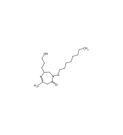 CCCCCCCCON1CC(CCCO)N=C(C)CC1=O